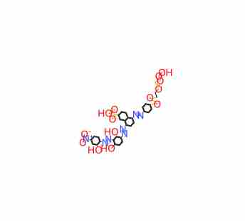 O=[N+]([O-])c1ccc(/N=N/c2c(O)ccc(/N=N/c3ccc(/N=N/c4ccc(S(=O)(=O)CCOSOOO)cc4)c4ccc(S(=O)(=O)O)cc34)c2O)c(O)c1